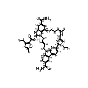 CCc1nc(C)oc1C(=O)Nc1nc2cc(C(N)=O)cc(OCCCNC)c2n1C/C=C/Cn1c2ncc(C(N)=O)cc2c2ccc(-c3nc(C)nn3CC)nc21